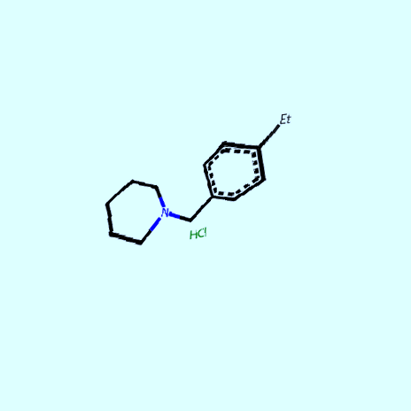 CCc1ccc(CN2CCCCC2)cc1.Cl